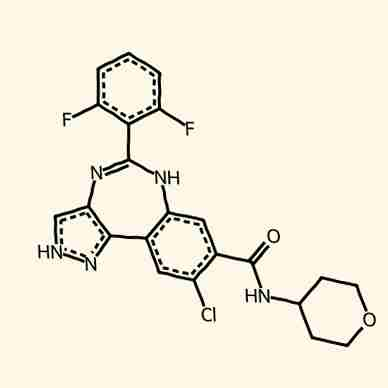 O=C(NC1CCOCC1)c1cc2c(cc1Cl)-c1n[nH]cc1N=C(c1c(F)cccc1F)N2